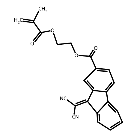 C=C(C)C(=O)OCCOC(=O)c1ccc2c(c1)C(=C(C#N)C#N)c1ccccc1-2